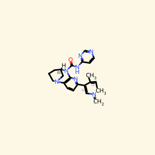 C=N/C=C(\C(C)=C/C)c1ccc2c(n1)N(C(=O)Nc1ccncn1)[C@H]1CCCN2C1